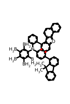 Bc1c(B)c(B)c(N(c2ccc(-c3cccc4c3C(C)(C)c3ccccc3-4)cc2)c2ccccc2-c2cccc3oc4c5ccccc5ccc4c23)c(B)c1B